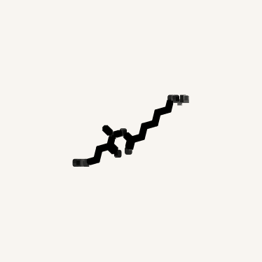 CCOC(=O)CCCCCC(=O)ON(C)C(=O)CCC=O